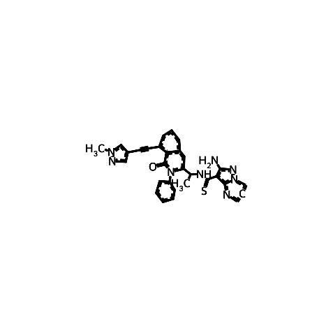 CC(NC(=S)c1c(N)nn2cccnc12)c1cc2cccc(C#Cc3cnn(C)c3)c2c(=O)n1-c1ccccc1